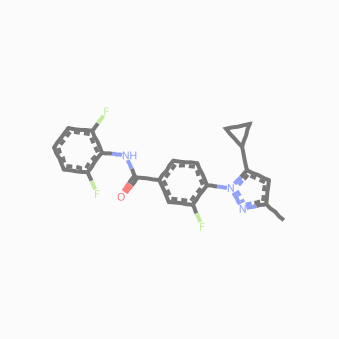 Cc1cc(C2CC2)n(-c2ccc(C(=O)Nc3c(F)cccc3F)cc2F)n1